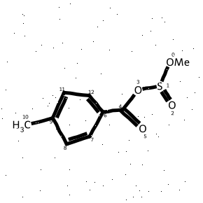 COS(=O)OC(=O)c1ccc(C)cc1